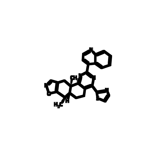 C[C@H]1c2oncc2C[C@@]2(C)c3nc(-c4ccnc5ccccc45)nc(-c4nccs4)c3CC[C@H]12